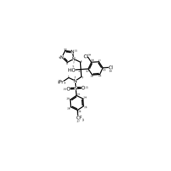 CC(C)CN(CC(O)(Cn1cncn1)c1ccc(Cl)cc1Cl)S(=O)(=O)c1ccc(C(F)(F)F)cc1